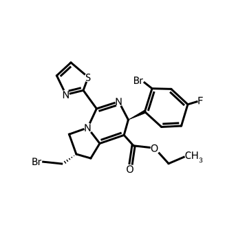 CCOC(=O)C1=C2C[C@H](CBr)CN2C(c2nccs2)=N[C@H]1c1ccc(F)cc1Br